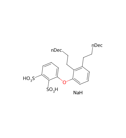 CCCCCCCCCCCCc1cccc(Oc2cccc(S(=O)(=O)O)c2S(=O)(=O)O)c1CCCCCCCCCCCC.[NaH]